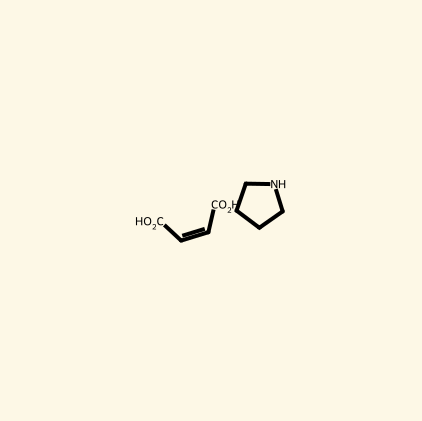 C1CCNC1.O=C(O)/C=C\C(=O)O